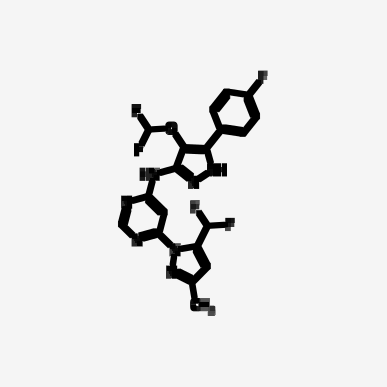 Cc1cc(C(F)F)n(-c2cc(Nc3n[nH]c(-c4ccc(F)cc4)c3OC(F)F)ncn2)n1